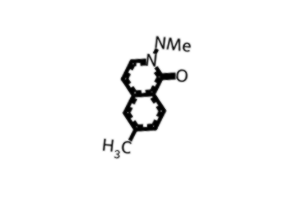 CNn1ccc2cc(C)ccc2c1=O